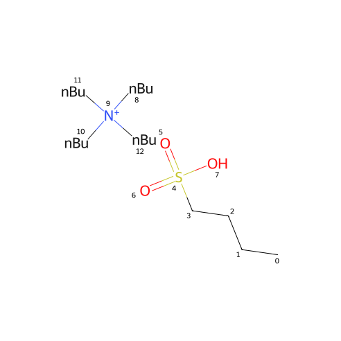 CCCCS(=O)(=O)O.CCCC[N+](CCCC)(CCCC)CCCC